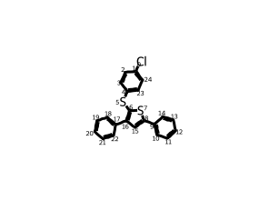 Clc1ccc(Sc2sc(-c3ccccc3)cc2-c2ccccc2)cc1